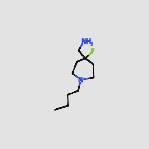 CCCCN1CCC(F)(CN)CC1